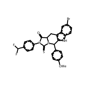 COc1ccc(C2c3[nH]c4ccc(Br)cc4c3CC3C(=O)N(c4ccc(C(F)F)cc4)C(=S)N32)cc1